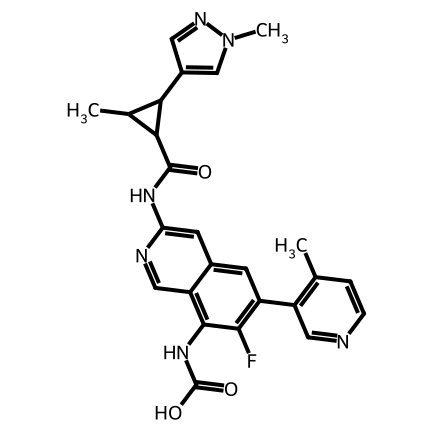 Cc1ccncc1-c1cc2cc(NC(=O)C3C(C)C3c3cnn(C)c3)ncc2c(NC(=O)O)c1F